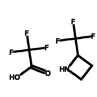 FC(F)(F)C1CCN1.O=C(O)C(F)(F)F